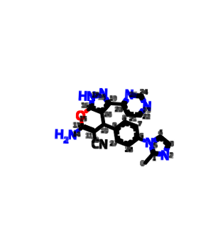 Cc1nccn1-c1ccc(C2C(C#N)=C(N)Oc3[nH]nc(-c4ccncn4)c32)cc1